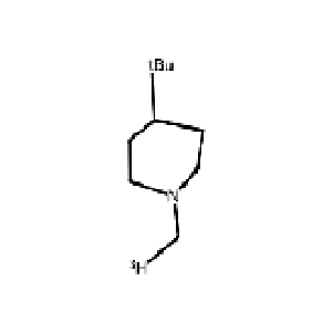 [3H]CN1CCC(C(C)(C)C)CC1